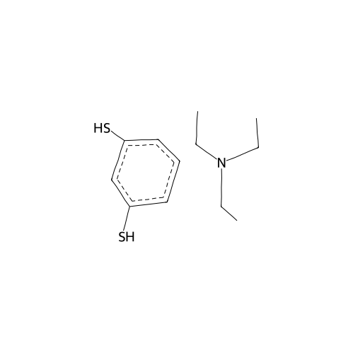 CCN(CC)CC.Sc1cccc(S)c1